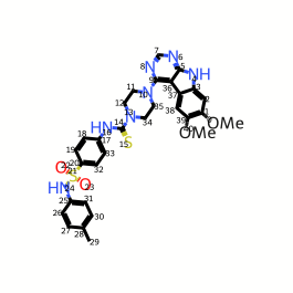 COc1cc2[nH]c3ncnc(N4CCN(C(=S)Nc5ccc(S(=O)(=O)Nc6ccc(C)cc6)cc5)CC4)c3c2cc1OC